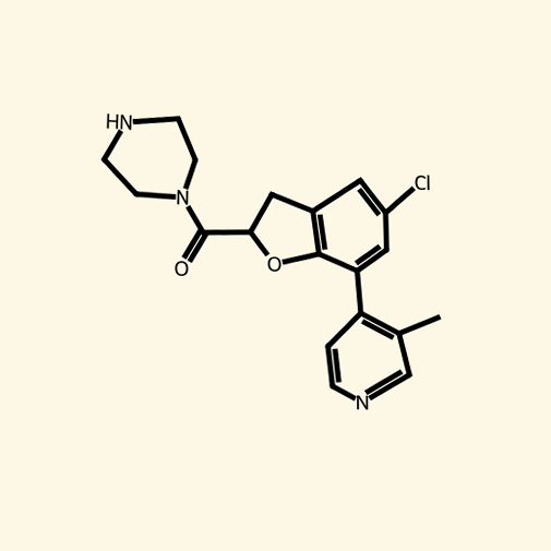 Cc1cnccc1-c1cc(Cl)cc2c1OC(C(=O)N1CCNCC1)C2